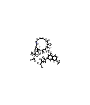 COc1ccc2c(OC3CC4C(=O)NC5(C(=O)NS(=O)(=O)C6CC6)CC5/C=C/CCCCN(C)C(=O)N4C3)cc(-c3nc(C(C)C)cs3)nc2c1